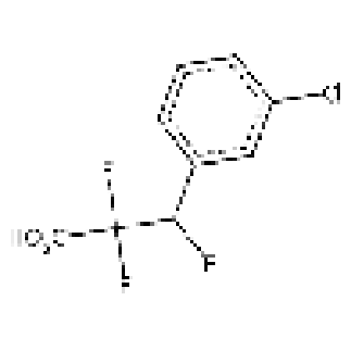 O=C(O)C(F)(F)C(F)c1cccc(Cl)c1